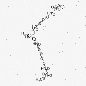 C=CSC1CC(=O)N(CCC(=O)NCCOCCOCCOCCOCCC(=O)NCc2ccc(C3=C4CCCC(OC(=O)NCCOCCOCCOCCNC(=O)CCN5C(=O)CC(SC6CCCCC6)C5=O)CCC4C(C)=NN3)cc2)C1=O